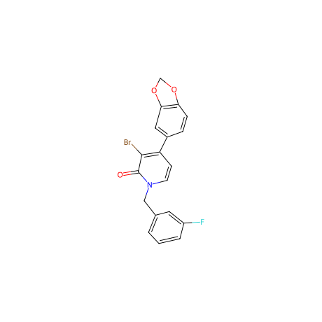 O=c1c(Br)c(-c2ccc3c(c2)OCO3)ccn1Cc1cccc(F)c1